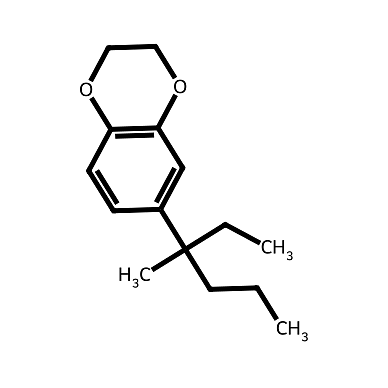 CCCC(C)(CC)c1ccc2c(c1)OCCO2